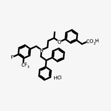 CC(CCN(Cc1ccc(F)c(C(F)(F)F)c1)CC(c1ccccc1)c1ccccc1)Oc1cccc(CC(=O)O)c1.Cl